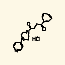 Cl.O=C(CCC(=O)N1CCN(c2ccncc2)CC1)c1ccccc1